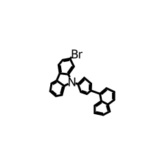 Brc1ccc2c3ccccc3n(-c3ccc(-c4cccc5ccccc45)cc3)c2c1